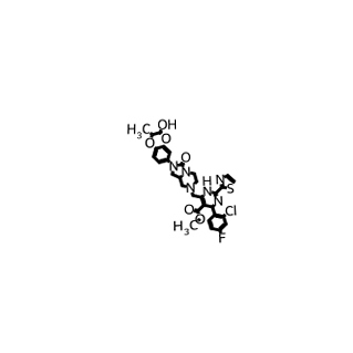 COC(=O)C1=C(CN2CCN3C(=O)N(c4ccc(OC(C)C(=O)O)cc4)CC3C2)NC(c2nccs2)=NC1c1ccc(F)cc1Cl